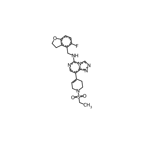 CCS(=O)(=O)N1CC=C(c2cnc(NCc3c(F)ccc4c3CCO4)n3cnnc23)CC1